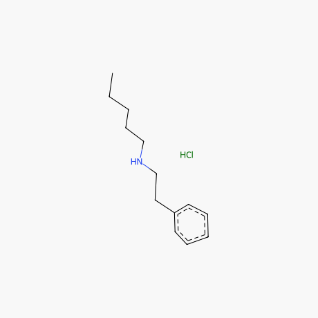 CCCCCNCCc1ccccc1.Cl